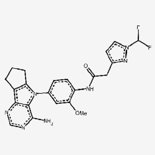 COc1cc(-n2c3c(c4ncnc(N)c42)CCC3)ccc1NC(=O)Cc1ccn(C(F)F)n1